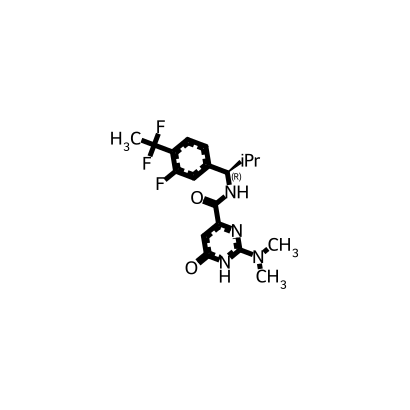 CC(C)[C@@H](NC(=O)c1cc(=O)[nH]c(N(C)C)n1)c1ccc(C(C)(F)F)c(F)c1